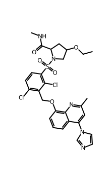 CCOC1CC(C(=O)NC)N(S(=O)(=O)c2ccc(Cl)c(COc3cccc4c(-n5ccnc5)cc(C)nc34)c2Cl)C1